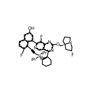 CC(C)[Si](C#Cc1c(F)ccc2cc(O)cc(-c3ncc4c(C5=CCCCC5)nc(OC[C@@]56CCCN5C[C@H](F)C6)nc4c3F)c12)(C(C)C)C(C)C